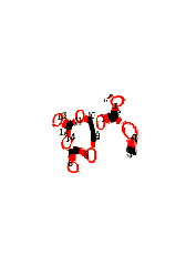 COC(=O)OC.O=C1OCCOC(=O)O1